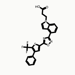 O=C(O)CCn1ccc2c(-c3noc(-c4cc(-c5ccccc5)c(C(F)(F)F)s4)n3)cccc21